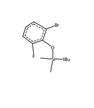 CC(C)(C)[Si](C)(C)Oc1c(F)cccc1Br